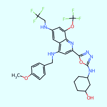 COc1ccc(CNc2cc(-c3nnc(NC4CCCC(O)C4)o3)nc3c(OC(F)(F)F)cc(NCC(F)(F)F)cc23)cc1